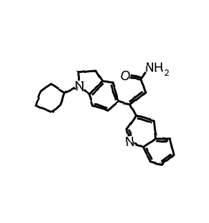 NC(=O)C=C(c1ccc2c(c1)CCN2C1CCCCC1)c1cnc2ccccc2c1